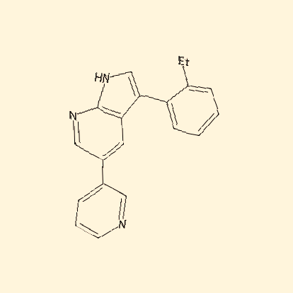 CCc1ccccc1-c1c[nH]c2ncc(-c3cccnc3)cc12